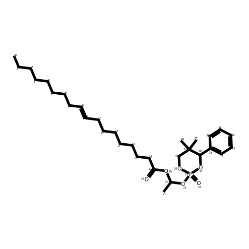 CCCCCCCCC=CCCCCCCCC(=O)OC(C)OP1(=O)OCC(C)(C)C(c2ccccc2)O1